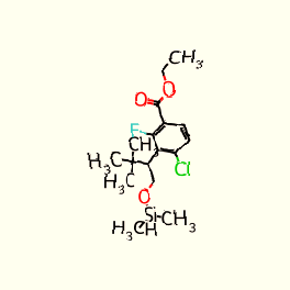 CCOC(=O)c1ccc(Cl)c(C(CO[SiH](C)C)C(C)(C)C)c1F